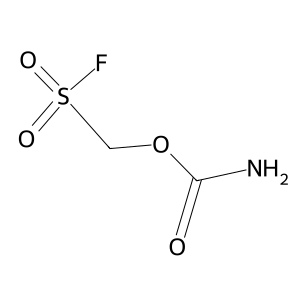 NC(=O)OCS(=O)(=O)F